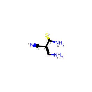 N#CC(=CN)C(N)=S